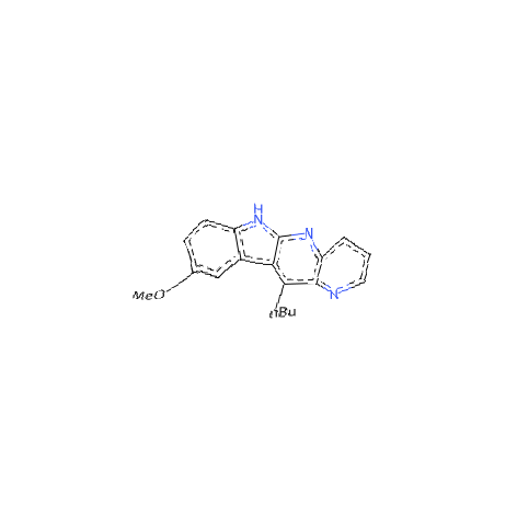 CCCCc1c2ncccc2nc2[nH]c3ccc(OC)cc3c12